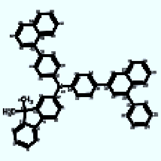 CC1(C)c2ccccc2-c2ccc(N(c3ccc(-c4cc(-c5ccccc5)c5ccccc5c4)cc3)c3ccc(-c4cccc5ccccc45)cc3)cc21